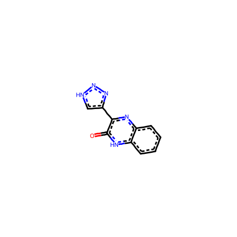 O=c1[nH]c2ccccc2nc1-c1c[nH]nn1